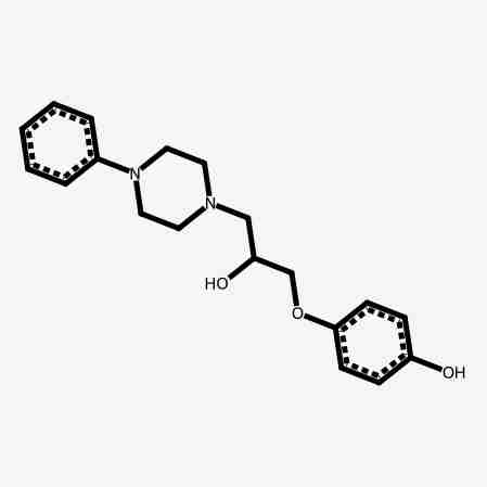 Oc1ccc(OCC(O)CN2CCN(c3ccccc3)CC2)cc1